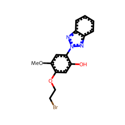 COc1cc(-n2nc3ccccc3n2)c(O)cc1OCCBr